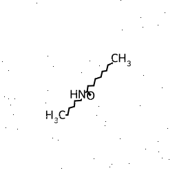 CCCCCCCCCC(=O)NCCCCCC